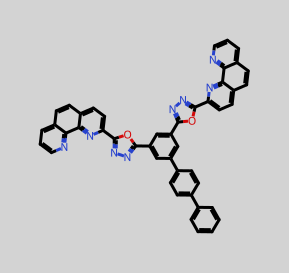 c1ccc(-c2ccc(-c3cc(-c4nnc(-c5ccc6ccc7cccnc7c6n5)o4)cc(-c4nnc(-c5ccc6ccc7cccnc7c6n5)o4)c3)cc2)cc1